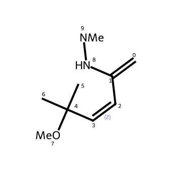 C=C(/C=C\C(C)(C)OC)NNC